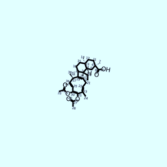 CC[C@@]1(C)[C@@H]2C[C@](C)(C(=O)O)CC[C@]2(C)CC[C@]1(C)/C1=C/C/C=C(C)/C(OC(C)=O)=C(OC(C)=O)\C=C\[C@H]1C